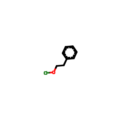 ClOCCc1ccccc1